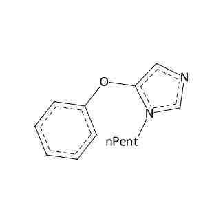 [CH2]CCCCn1cncc1Oc1ccccc1